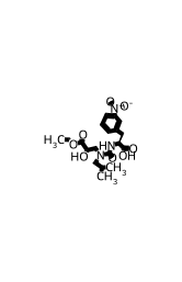 CCOC(=O)C(O)CN(CC(C)C)C(=O)N[C@@H](Cc1cccc([N+](=O)[O-])c1)C(=O)O